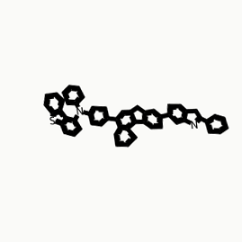 c1ccc(C2=Nc3cc(-c4ccc5c(c4)Cc4cc(-c6ccc(N(c7ccccc7)c7cccc8sc9ccccc9c78)cc6)c6ccccc6c4-5)ccc3C2)cc1